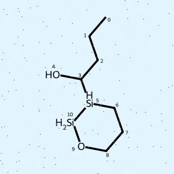 CCCC(O)[SiH]1CCCO[SiH2]1